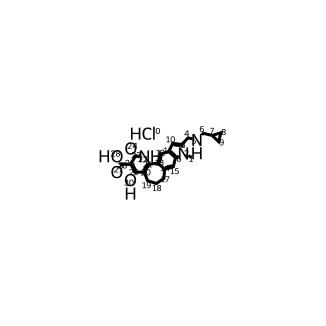 Cl.Cn1c(CNCC2CC2)cc2cc3c(cc21)CCCc1c-3[nH]c(=O)c(C(=O)O)c1O